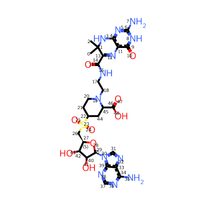 CC1(C)Nc2nc(N)[nH]c(=O)c2N=C1C(=O)NCCN1CCC(S(=O)(=O)C[C@H]2O[C@@H](n3cnc4c(N)ncnc43)C(O)C2O)CC1C(=O)O